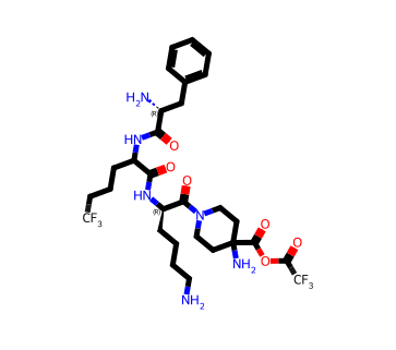 NCCCC[C@@H](NC(=O)C(CCCC(F)(F)F)NC(=O)[C@H](N)Cc1ccccc1)C(=O)N1CCC(N)(C(=O)OC(=O)C(F)(F)F)CC1